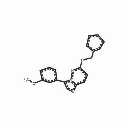 FC(F)(F)Oc1cccc(-c2cnc3ccc(OCc4ccccc4)nn23)c1